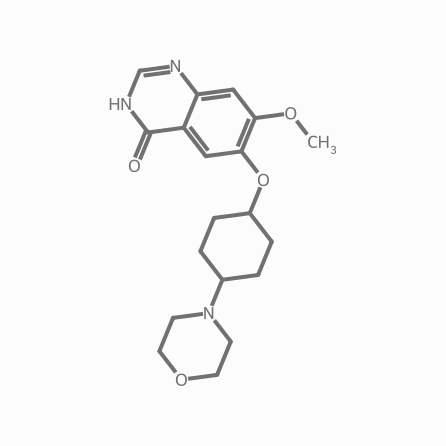 COc1cc2nc[nH]c(=O)c2cc1OC1CCC(N2CCOCC2)CC1